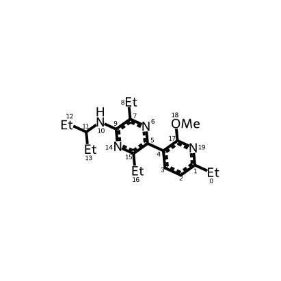 CCc1ccc(-c2nc(CC)c(NC(CC)CC)nc2CC)c(OC)n1